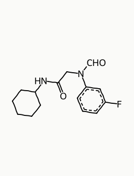 O=CN(CC(=O)NC1CCCCC1)c1cccc(F)c1